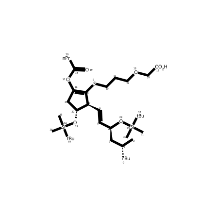 CCCC[C@@H](C)C[C@@H](/C=C/[C@@H]1C(SCCCOCC(=O)O)=C(OC(=O)CCC)C[C@H]1O[Si](C)(C)C(C)(C)C)O[Si](C)(C)C(C)(C)C